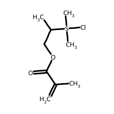 C=C(C)C(=O)OCC(C)S(C)(C)Cl